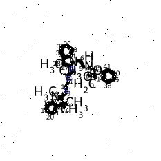 C=CP(=O)(NCCN1/C(=C/C=C/C=C/C2=[N+](C)c3ccccc3C2(C)C)C(C)(C)c2ccccc21)Oc1ccccc1